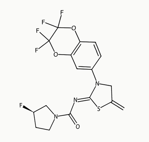 C=C1CN(c2ccc3c(c2)OC(F)(F)C(F)(F)O3)/C(=N/C(=O)N2CC[C@@H](F)C2)S1